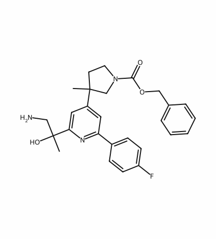 CC(O)(CN)c1cc(C2(C)CCN(C(=O)OCc3ccccc3)C2)cc(-c2ccc(F)cc2)n1